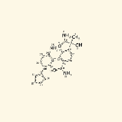 CC(O)(C(N)=O)c1ccc(C(N)=O)c(-c2cc(-c3cccs3)ccc2N)c1